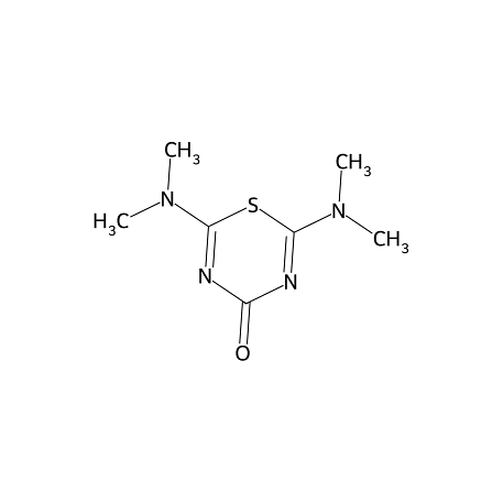 CN(C)c1nc(=O)nc(N(C)C)s1